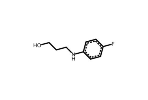 OCCCNc1ccc(F)cc1